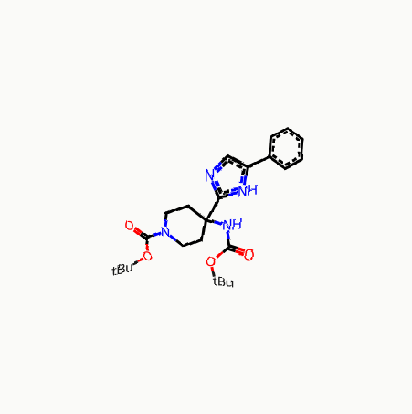 CC(C)(C)OC(=O)NC1(c2ncc(-c3ccccc3)[nH]2)CCN(C(=O)OC(C)(C)C)CC1